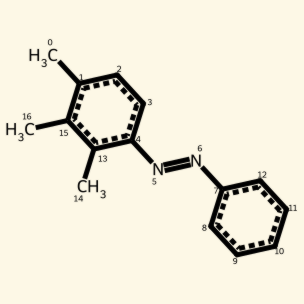 Cc1ccc(N=Nc2ccccc2)c(C)c1C